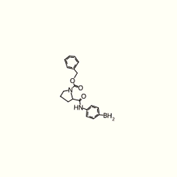 Bc1ccc(NC(=O)C2CCCN2C(=O)OCc2ccccc2)cc1